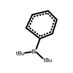 C[C](C)(C)[Bi]([c]1ccccc1)[C](C)(C)C